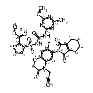 C#CCN1C(=O)COc2cc(F)c(N3C(=O)C4=C(CCCC4)C3=O)cc21.COC(=O)c1sccc1S(=O)(=O)NC(=O)Nc1nc(C)nc(OC)n1